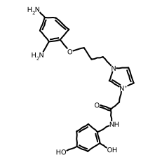 Nc1ccc(OCCCn2cc[n+](CC(=O)Nc3ccc(O)cc3O)c2)c(N)c1